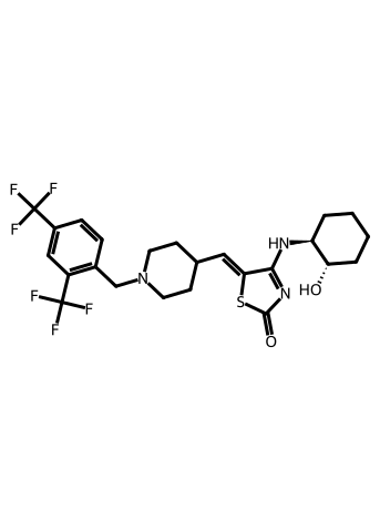 O=C1N=C(N[C@H]2CCCC[C@@H]2O)/C(=C/C2CCN(Cc3ccc(C(F)(F)F)cc3C(F)(F)F)CC2)S1